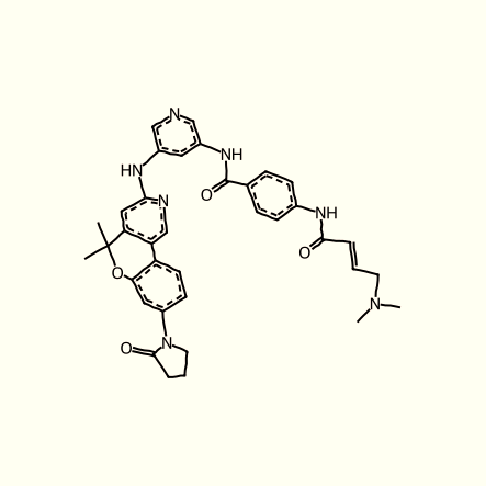 CN(C)C/C=C/C(=O)Nc1ccc(C(=O)Nc2cncc(Nc3cc4c(cn3)-c3ccc(N5CCCC5=O)cc3OC4(C)C)c2)cc1